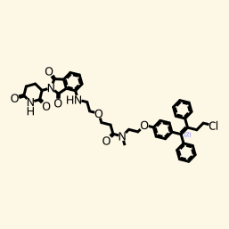 CN(CCOc1ccc(/C(=C(/CCCl)c2ccccc2)c2ccccc2)cc1)C(=O)CCOCCNc1cccc2c1C(=O)N(C1CCC(=O)NC1=O)C2=O